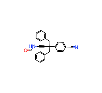 N#Cc1ccc(C(C#CNC=O)(Cc2ccccc2)Cc2ccccc2)cc1